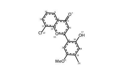 COc1cc(-c2cc(=O)c3cccc(Cl)c3o2)c(O)cc1C